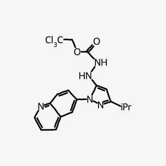 CC(C)c1cc(NNC(=O)OCC(Cl)(Cl)Cl)n(-c2ccc3ncccc3c2)n1